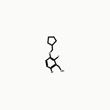 OCc1c(Br)ccc(OCC2CCCC2)c1F